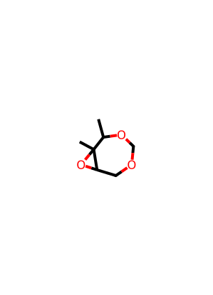 CC1OCOCC2OC12C